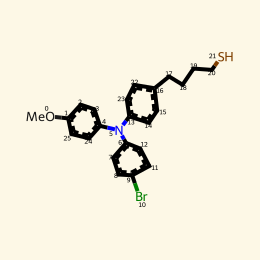 COc1ccc(N(c2ccc(Br)cc2)c2ccc(CCCCS)cc2)cc1